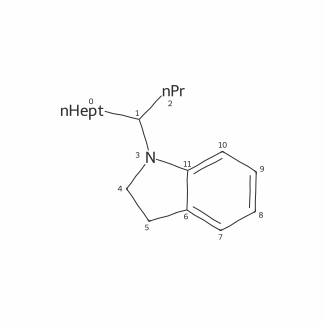 CCCCCCCC(CCC)N1CCc2ccccc21